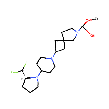 CCOC(O)N1CCC2(CC(N3CCC(N4CCC[C@@H]4C(F)F)CC3)C2)C1